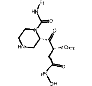 CCCCCCCC[C@H](CC(=O)NO)C(=O)[C@@H]1CNCCN1C(=O)NCC